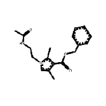 CC(=O)NCCn1cc(C)c(C(=O)OCc2ccccc2)c1C